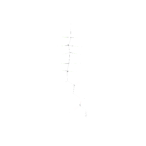 C=CC(=O)OCC(=O)CC(F)(F)C(F)(F)C(F)(F)C(F)(F)C(F)(F)C(F)(F)F